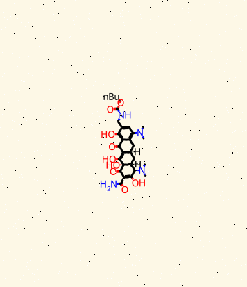 CCCCOC(=O)NCc1cc(N(C)C)c2c(c1O)C(=O)C1=C(O)[C@]3(O)C(=O)C(C(N)=O)=C(O)[C@H](N(C)C)[C@@H]3C[C@@H]1C2